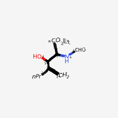 C=C(CCC)C(O)C(NC=O)C(=O)OCC